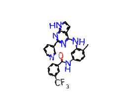 Cc1ccc(NC(=O)c2cccc(C(F)(F)F)c2)cc1Nc1nc(-c2cccnc2)nc2[nH]ccc12